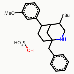 CCCCC1CNC2(Cc3ccccc3)CCC(c3cccc(OC)c3)C1C2.O=S(=O)(O)O